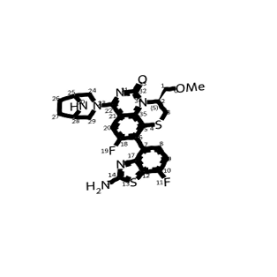 COC[C@H]1CSc2c(-c3ccc(F)c4sc(N)nc34)c(F)cc3c(N4CC5CCC(C4)N5)nc(=O)n1c23